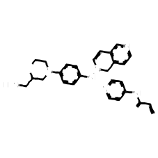 C=CC(=O)Nc1ccnc([C@H]2c3ccncc3C=CN2Nc2ccc(N3CCOC(CN)C3)cc2)c1